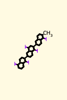 Cc1ccc2cc(-c3cc(I)c4cc(-c5ccc6c(I)cccc6c5I)ccc4c3I)ccc2c1I